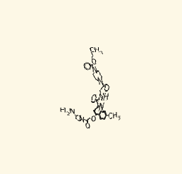 CCCCOC(=O)N1CCN(C(=O)CNC(=O)c2cc(OCC(=O)N3CC[C@H](N)C3)c3ccc(C)cc3n2)CC1